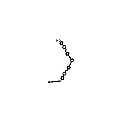 C#CC#CC#CC#COc1ccc(C2CCC(CCc3ccc(C#Cc4cccc(C#Cc5ccc(CCC6CCC(c7ccc(O)cc7)CC6)cc5)c4)cc3)CC2)cc1